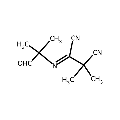 CC(C)(C=O)N=C(C#N)C(C)(C)C#N